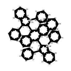 c1ccc(-c2c(-c3c4ccccc4c(-c4c(-c5ccccc5)c5ccccc5n4-c4ccccc4)c4cc5ccccc5cc34)n(-c3ccccc3)c3ccccc23)cc1